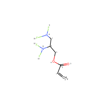 C=CC(=O)OCC(CN(F)F)N(F)F